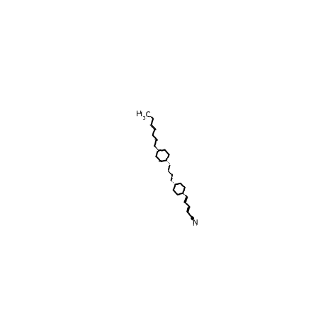 CCCCCCC[C@H]1CC[C@H](CCCC[C@H]2CC[C@H](C=CC=CC#N)CC2)CC1